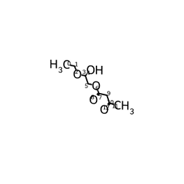 CCOC(O)COC(=O)CC(C)=O